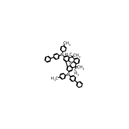 CC1=CCC(N(c2ccc(-c3ccccc3)cc2)c2cc3c4c(c2)c2cc(N(c5ccc(C)cc5)c5ccc(C6=CCCC=C6)cc5)cc5c2n4-c2c(cccc2C3(C)C)C5(C)C)C=C1